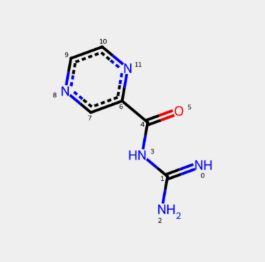 N=C(N)NC(=O)c1cnccn1